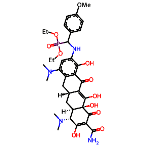 CCOP(=O)(OCC)C(Nc1cc(N(C)C)c2c(c1O)C(=O)C1=C(O)[C@]3(O)C(=O)C(C(N)=O)=C(O)[C@H](N(C)C)[C@H]3C[C@@H]1C2)c1ccc(OC)cc1